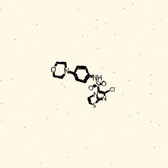 O=S(=O)(Nc1ccc(N2CCOCC2)cc1)c1c(Cl)nc2sccn12